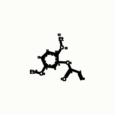 C=CC(=O)Oc1cc(OCC)ccc1OCC